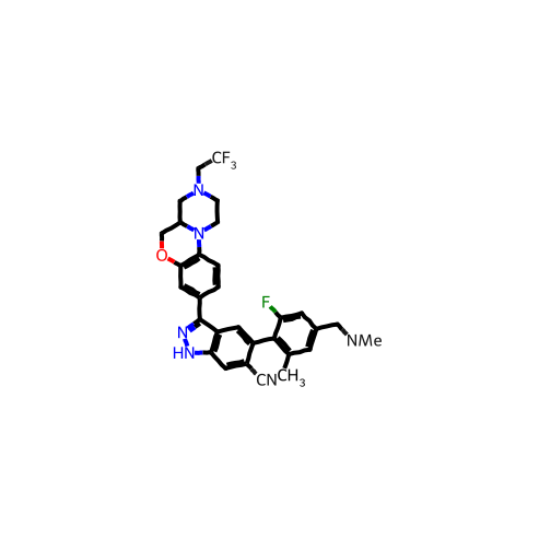 CNCc1cc(C)c(-c2cc3c(-c4ccc5c(c4)OCC4CN(CC(F)(F)F)CCN54)n[nH]c3cc2C#N)c(F)c1